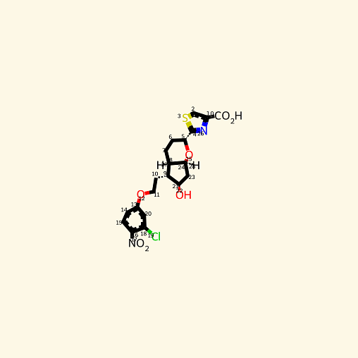 O=C(O)c1csc([C@H]2CC[C@@H]3[C@@H](CCOc4ccc([N+](=O)[O-])c(Cl)c4)[C@H](O)C[C@@H]3O2)n1